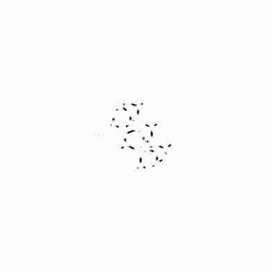 [O-]B1OB2OB([O-])OB(O1)O2.[O-]B1OB2OB([O-])OB(O1)O2.[O-]B1OB2OB([O-])OB(O1)O2.[Y+3].[Y+3]